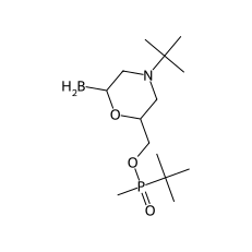 BC1CN(C(C)(C)C)CC(COP(C)(=O)C(C)(C)C)O1